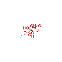 CCCOC(=O)[C@@H](O)[C@H](O)[C@@H](O)[C@H](O)C=O